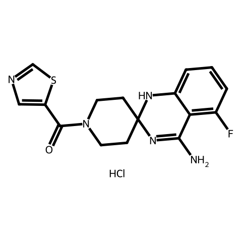 Cl.NC1=NC2(CCN(C(=O)c3cncs3)CC2)Nc2cccc(F)c21